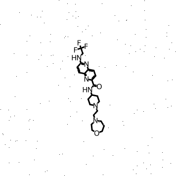 O=C(NC1CCN(CCN2CCCOCC2)CC1)c1ccc2nc(NCC(F)(F)F)ccc2n1